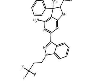 CC1(c2ccccc2)c2c(N)nc(-c3nn(CCC(F)(F)F)c4ccccc34)nc2NC1C=O